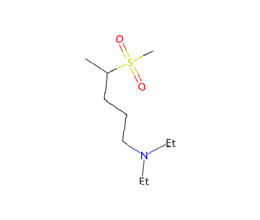 CCN(CC)CCCC(C)S(C)(=O)=O